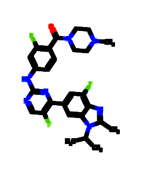 Cc1nc2c(F)cc(-c3nc(Nc4ccc(C(=O)N5CCN(C)CC5)c(F)c4)ncc3F)cc2n1C(C)C